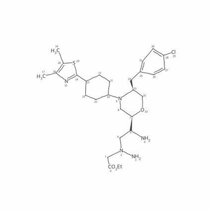 CCOC(=O)CN(N)CC(N)[C@H]1CN(C2CCC(c3nc(C)c(C)s3)CC2)[C@@H](Cc2ccc(Cl)cc2)CO1